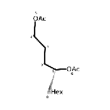 CCCCCC[C@H](CCCOC(C)=O)OC(C)=O